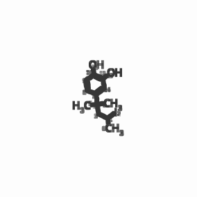 CC(I)CC(C)(C)c1ccc(O)c(O)c1